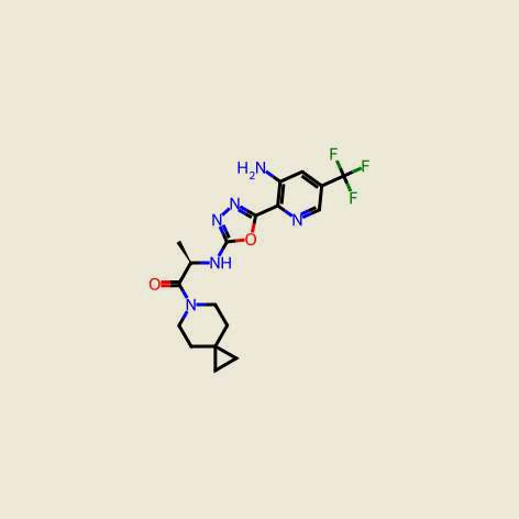 C[C@@H](Nc1nnc(-c2ncc(C(F)(F)F)cc2N)o1)C(=O)N1CCC2(CC1)CC2